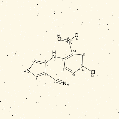 N#Cc1cscc1Nc1ccc(Cl)cc1[N+](=O)[O-]